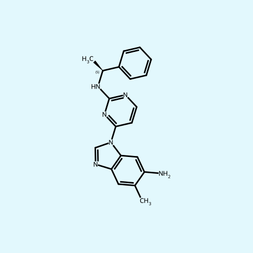 Cc1cc2ncn(-c3ccnc(N[C@@H](C)c4ccccc4)n3)c2cc1N